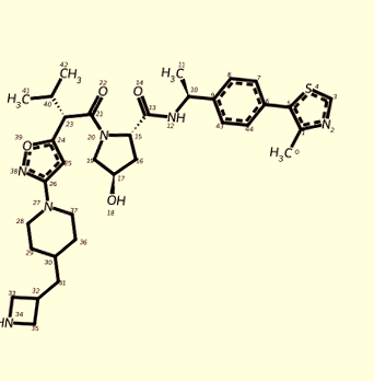 Cc1ncsc1-c1ccc([C@H](C)NC(=O)[C@@H]2C[C@@H](O)CN2C(=O)[C@H](c2cc(N3CCC(CC4CNC4)CC3)no2)C(C)C)cc1